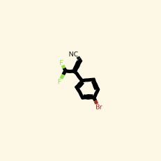 N#[13C]C=C(c1ccc(Br)cc1)C(F)F